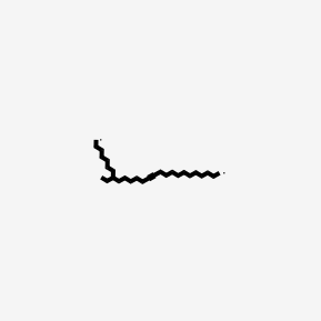 [CH2]CCCCCCCCCCC#CCCCCCC(CC)CCCCCC[CH2]